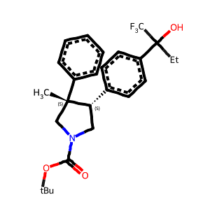 CCC(O)(c1ccc([C@@H]2CN(C(=O)OC(C)(C)C)C[C@]2(C)c2ccccc2)cc1)C(F)(F)F